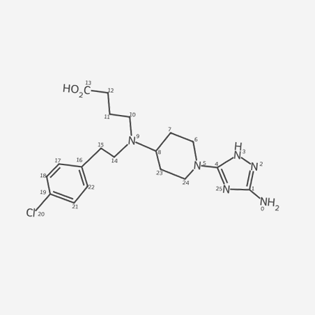 Nc1n[nH]c(N2CCC(N(CCCC(=O)O)CCc3ccc(Cl)cc3)CC2)n1